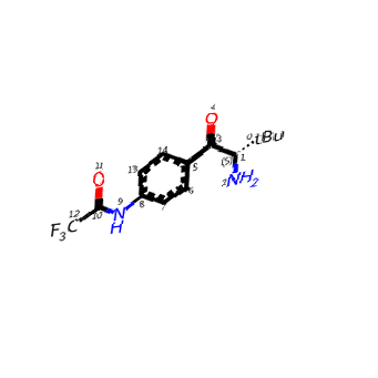 CC(C)(C)[C@H](N)C(=O)c1ccc(NC(=O)C(F)(F)F)cc1